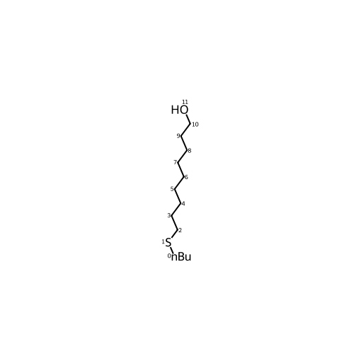 CCCCSCCCCCCCCCO